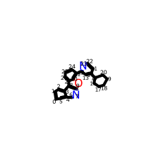 c1ccc2c(c1)cnc1oc3c(-c4cc(C5CCCCC5)ccn4)cccc3c12